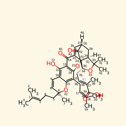 CC(C)=CCC[C@@]1(C)C=Cc2c(O)c3c(c(CC=C(C)C)c2O1)O[C@]12C(=C[C@@H]4C[C@H]1C(C)(C)O[C@@]2(C/C=C(\C)C(=O)O)C4=O)C3=O